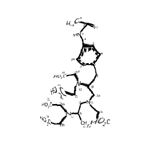 CC(=S)Nc1ccc(CC(CN(CC(=O)O)CC(C)N(CC(=O)O)CC(=O)O)N(CC(=O)O)CC(=O)O)cc1